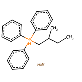 Br.CCC(C)C[PH](c1ccccc1)(c1ccccc1)c1ccccc1